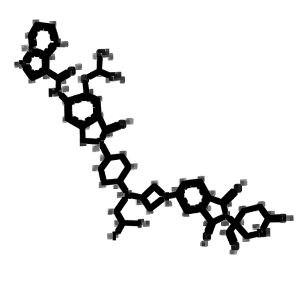 CC(C)Oc1cc2c(cc1NC(=O)c1cnn3cccnc13)CN(C1CCC(N(CC(F)F)C3CN(c4ccc5c(c4)C(=O)N(C4(C=O)CCC(=O)NC4)C5=O)C3)CC1)C2=O